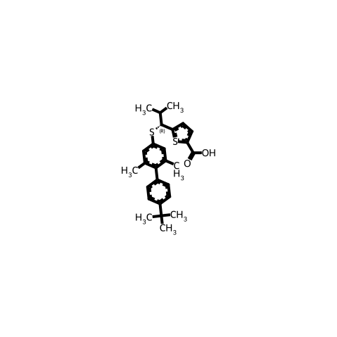 Cc1cc(S[C@@H](c2ccc(C(=O)O)s2)C(C)C)cc(C)c1-c1ccc(C(C)(C)C)cc1